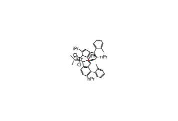 CCCc1ccc2c(c1-c1ccccc1C)C=C(C(C)C)[CH]2[Zr]([Cl])([Cl])([CH]1C(C(C)C)=Cc2c1ccc(CCC)c2-c1ccccc1C)[SiH](C)C